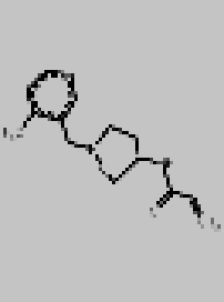 C=CC(=O)NC1CCN(Cc2ccccc2C(F)(F)F)CC1